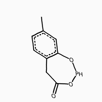 Cc1ccc2c(c1)OPOC(=O)C2